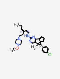 C=C/C=C(\C=C/Nc1ncc2c(n1)C1=CC=CC13[C@H](c1ccc(Cl)cc1)[C@@]23C)CCN1CCN(OC)CC1